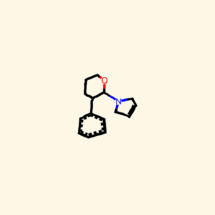 C1=CCN(C2OCCCC2c2ccccc2)C1